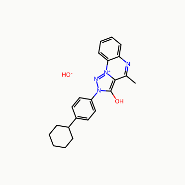 Cc1nc2ccccc2[n+]2nn(-c3ccc(C4CCCCC4)cc3)c(O)c12.[OH-]